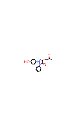 CC(=O)CC[C@H]1CN(c2ccc(O)cc2)N(c2ccccc2)C1=O